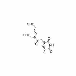 Cc1cn(CC(=O)N(C[C]=O)CCCC=O)c(=O)[nH]c1=O